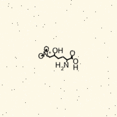 NC(CCC(O)C[N+](=O)[O-])C(=O)O